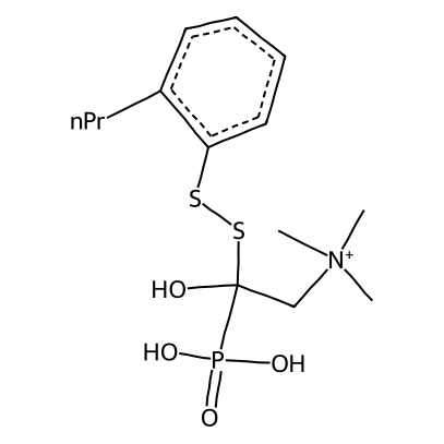 CCCc1ccccc1SSC(O)(C[N+](C)(C)C)P(=O)(O)O